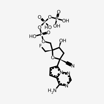 N#C[C@]1(c2ccc3c(N)ncnn23)C[C@H](O)[C@@](CF)(COP(=O)(O)OP(=O)(O)OP(=O)(O)O)O1